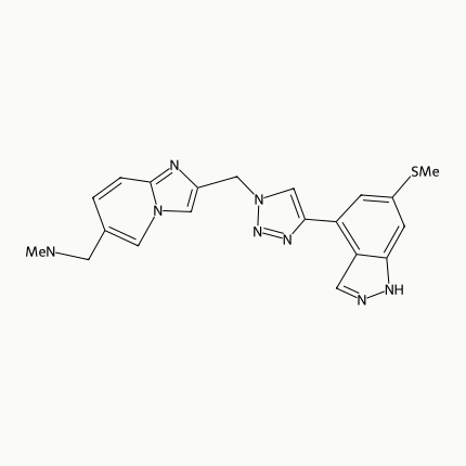 CNCc1ccc2nc(Cn3cc(-c4cc(SC)cc5[nH]ncc45)nn3)cn2c1